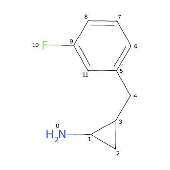 NC1CC1Cc1cccc(F)c1